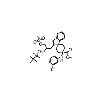 COC(=O)C1(Nc2cccc(Cl)c2)CCC2(CC1)C(CC(CO[Si](C)(C)C(C)(C)C)COS(C)(=O)=O)=Cc1ccccc12